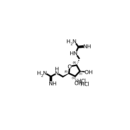 Cl.Cl.N=C(N)NC[C@H]1O[C@H](CNC(=N)N)[C@@H](O)[C@@H]1O